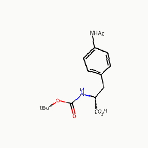 CC(=O)Nc1ccc(C[C@H](NC(=O)OC(C)(C)C)C(=O)O)cc1